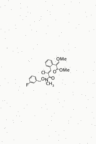 CO/C=C(/C(=O)OC)c1ccccc1/C=C(\Cl)C(=O)N(C)OCc1cccc(F)c1